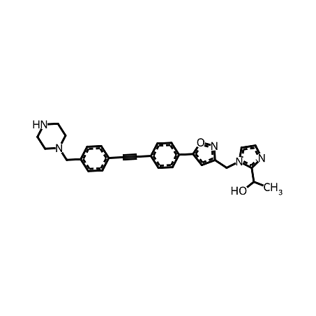 CC(O)c1nccn1Cc1cc(-c2ccc(C#Cc3ccc(CN4CCNCC4)cc3)cc2)on1